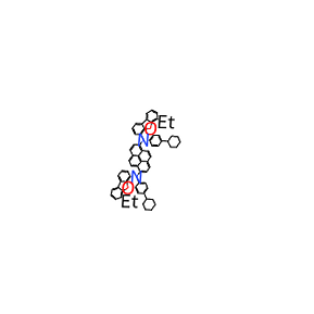 CCc1cccc2c1oc1c(N(c3ccc(C4CCCCC4)cc3)c3ccc4ccc5c(N(c6ccc(C7CCCCC7)cc6)c6cccc7c6oc6c(CC)cccc67)ccc6ccc3c4c65)cccc12